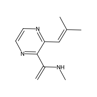 C=C(NC)c1nccnc1C=C(C)C